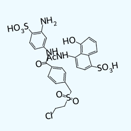 CC(=O)Nc1ccc(S(=O)(=O)O)c2cccc(O)c12.Nc1cc(NC(=O)c2ccc(CS(=O)(=O)CCCl)cc2)ccc1S(=O)(=O)O